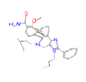 CCCCn1c(-c2ccccc2)nc(-c2ccccc2)c1CN(CCC(C)C)Cc1ccc(C(N)=O)c(OC)c1